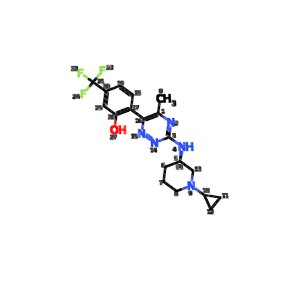 Cc1nc(N[C@@H]2CCCN(C3CC3)C2)nnc1-c1ccc(C(F)(F)F)cc1O